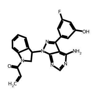 C=CC(=O)N1CC(n2nc(-c3cc(O)cc(F)c3)c3c(N)ncnc32)c2ccccc21